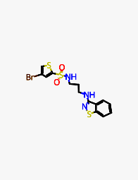 O=S(=O)(NCCCNc1nsc2ccccc12)c1cc(Br)cs1